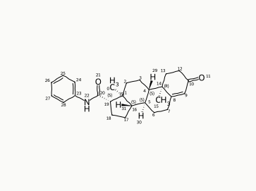 C[C@]12CC[C@H]3[C@@H](CCC4=CC(=O)CC[C@@]43C)[C@@H]1CC[C@@H]2C(=O)Nc1ccccc1